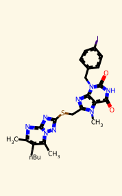 CCCCc1c(C)nc2nc(SCc3nc4c(c(=O)[nH]c(=O)n4Cc4ccc(I)cc4)n3C)nn2c1C